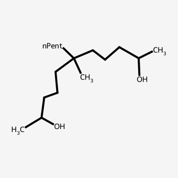 CCCCCC(C)(CCCC(C)O)CCCC(C)O